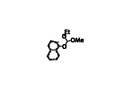 CCOC(OC)Oc1[c]ccc2ccccc12